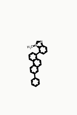 Cn1cnc2cccc(-c3cccc4c3ccc3cc(-c5ccccc5)ccc34)c21